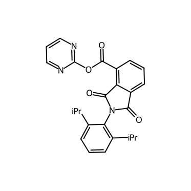 CC(C)c1cccc(C(C)C)c1N1C(=O)c2cccc(C(=O)Oc3ncccn3)c2C1=O